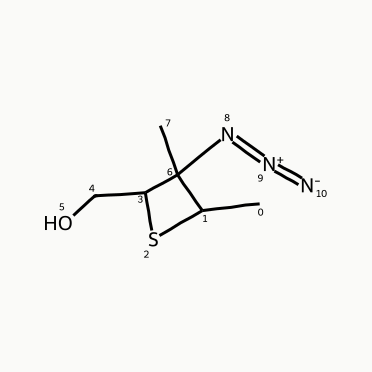 CC1SC(CO)C1(C)N=[N+]=[N-]